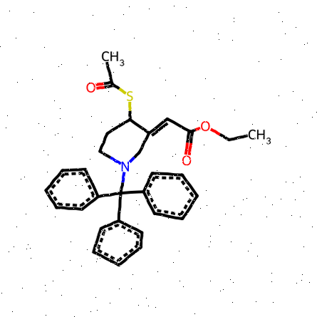 CCOC(=O)C=C1CN(C(c2ccccc2)(c2ccccc2)c2ccccc2)CCC1SC(C)=O